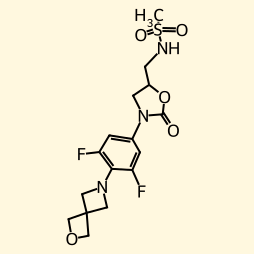 CS(=O)(=O)NCC1CN(c2cc(F)c(N3CC4(COC4)C3)c(F)c2)C(=O)O1